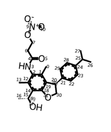 Cc1c(NC(=O)CCO[N+](=O)[O-])c(C)c([C@@H](C)O)c2c1[C@@H](c1ccc(C(C)C)cc1)CO2